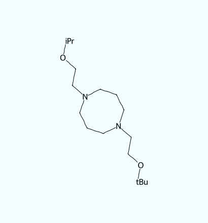 CC(C)OCCN1CCCN(CCOC(C)(C)C)CCC1